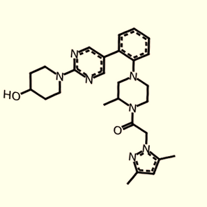 Cc1cc(C)n(CC(=O)N2CCN(c3ccccc3-c3cnc(N4CCC(O)CC4)nc3)CC2C)n1